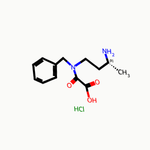 C[C@@H](N)CCN(Cc1ccccc1)C(=O)C(=O)O.Cl